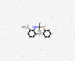 CCC(C)(Nc1c(C(=O)O)cccc1C(F)(F)F)Sc1ccccc1